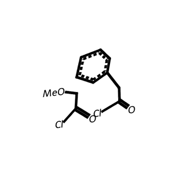 COCC(=O)Cl.O=C(Cl)Cc1ccccc1